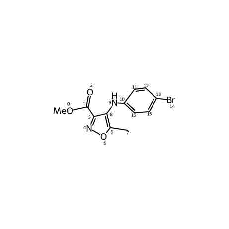 COC(=O)c1noc(C)c1Nc1ccc(Br)cc1